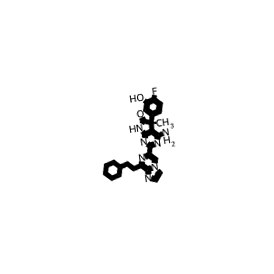 C[C@]1(c2ccc(F)c(O)c2)C(=O)Nc2nc(-c3cn4ccnc4c(CCC4CCCCC4)n3)nc(N)c21